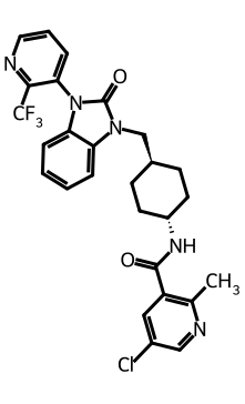 Cc1ncc(Cl)cc1C(=O)N[C@H]1CC[C@H](Cn2c(=O)n(-c3cccnc3C(F)(F)F)c3ccccc32)CC1